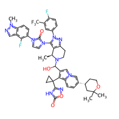 C[C@H]1c2c(nn(-c3ccc(F)c(C(F)(F)F)c3)c2-n2ccn(-c3ccc4c(cnn4C)c3F)c2=O)CCN1C(O)c1cn2cc([C@@H]3CCOC(C)(C)C3)ccc2c1C1(c2noc(=O)[nH]2)CC1